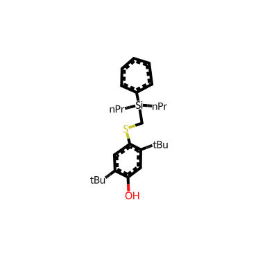 CCC[Si](CCC)(CSc1cc(C(C)(C)C)c(O)cc1C(C)(C)C)c1ccccc1